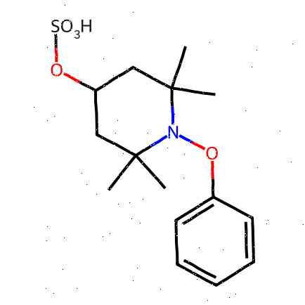 CC1(C)CC(OS(=O)(=O)O)CC(C)(C)N1Oc1ccccc1